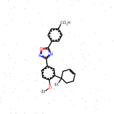 CCOc1ccc(-c2noc(-c3ccc(C(=O)O)cc3)n2)cc1C1(CC)CC=CCC1